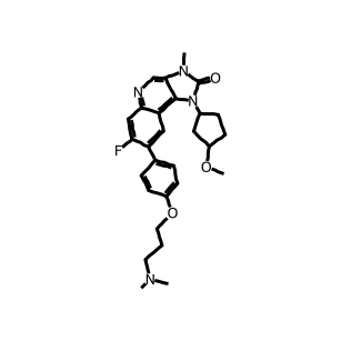 COC1CCC(n2c(=O)n(C)c3cnc4cc(F)c(-c5ccc(OCCCN(C)C)cc5)cc4c32)C1